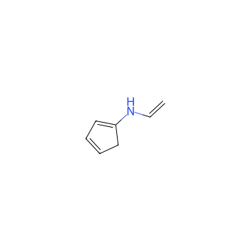 C=CNC1=CC=CC1